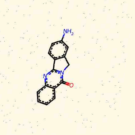 Nc1ccc2c(c1)Cn1c-2nc2ccccc2c1=O